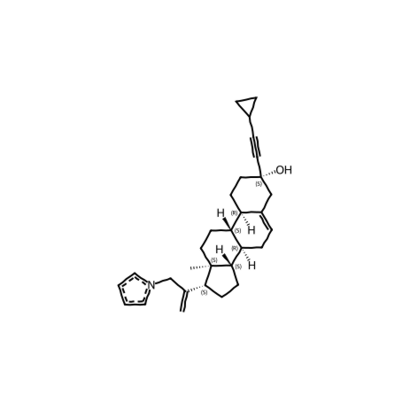 C=C(Cn1cccc1)[C@H]1CC[C@H]2[C@@H]3CC=C4C[C@](O)(C#CC5CC5)CC[C@@H]4[C@H]3CC[C@]12C